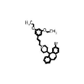 CCOc1cc(/C=C/CN2CCC(C3c4ccccc4C=Cc4ccc(Br)cc43)CC2)cc(OCC)c1